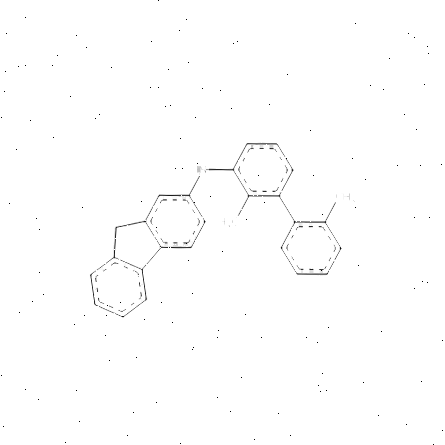 Cc1ccccc1-c1cccc(Nc2ccc3c(c2)Cc2ccccc2-3)c1C